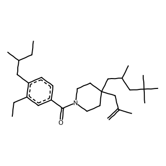 C=C(C)CC1(CC(C)CC(C)(C)C)CCN(C(=O)c2ccc(CC(C)CC)c(CC)c2)CC1